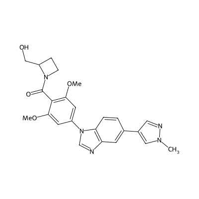 COc1cc(-n2cnc3cc(-c4cnn(C)c4)ccc32)cc(OC)c1C(=O)N1CCC1CO